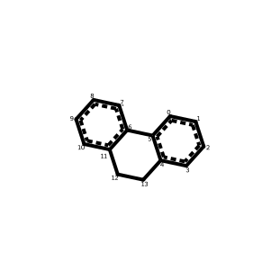 [c]1cccc2c1-c1[c]cccc1CC2